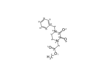 COC(=O)CN1CCN(Cc2ccccc2)C(=O)C1=O